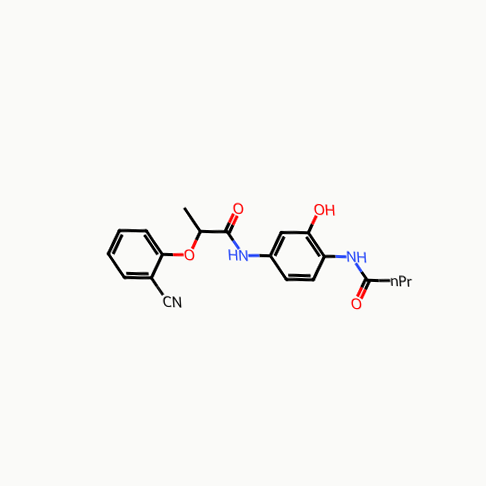 CCCC(=O)Nc1ccc(NC(=O)C(C)Oc2ccccc2C#N)cc1O